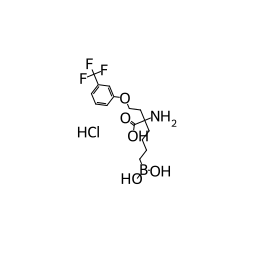 Cl.NC(CCCCB(O)O)(CCOc1cccc(C(F)(F)F)c1)C(=O)O